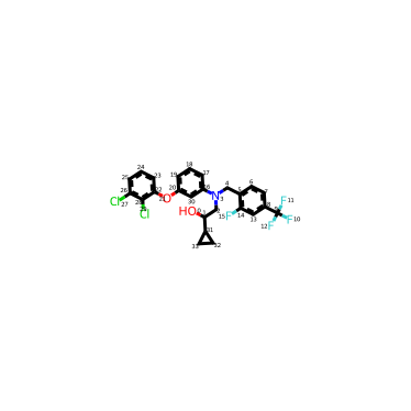 OC(CN(Cc1ccc(C(F)(F)F)cc1F)c1cccc(Oc2cccc(Cl)c2Cl)c1)C1CC1